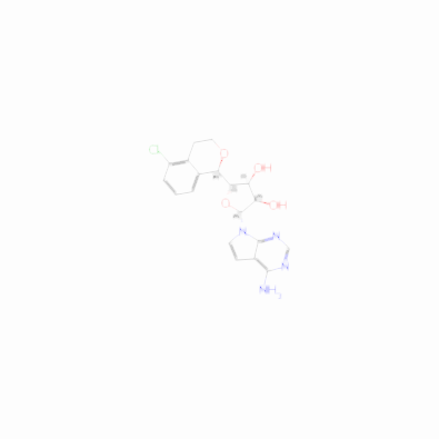 Nc1ncnc2c1ccn2[C@@H]1O[C@H]([C@@H]2OCCc3c(Cl)cccc32)[C@@H](O)[C@H]1O